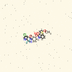 COc1ccc(C2(O)C(=O)N(C[C@H]3CC[C@H](NC(=O)c4cc(Cl)cnc4C(F)F)CC3)c3ccccc32)s1